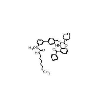 CCCCCCCNC(=O)N(C)c1cccc(-c2ccc(C[C@H](Nc3ccccc3C(=O)c3ccccc3)C(=O)N3CCOCC3)cc2)c1